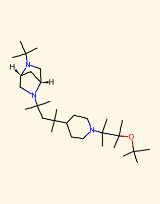 CC(C)(C)OC(C)(C)C(C)(C)N1CCC(C(C)(C)CC(C)(C)N2C[C@H]3C[C@@H]2CN3C(C)(C)C)CC1